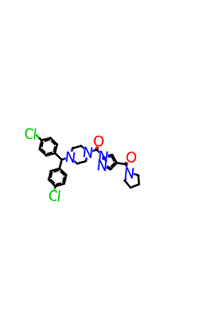 O=C(c1cnn(C(=O)N2CCN(C(c3ccc(Cl)cc3)c3ccc(Cl)cc3)CC2)c1)N1CCCC1